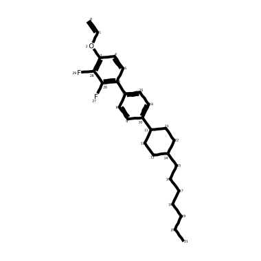 C=COc1ccc(-c2ccc(C3CCC(CCCCCCC)CC3)cc2)c(F)c1F